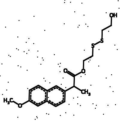 COc1ccc2cc(C(C)C(=O)OCCSSCCO)ccc2c1